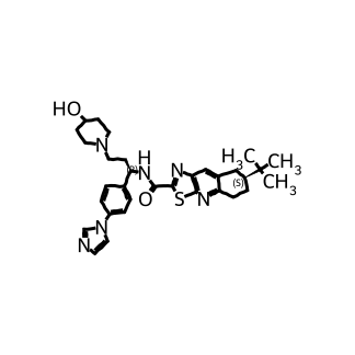 CC(C)(C)[C@H]1CCc2nc3sc(C(=O)N[C@H](CCN4CCC(O)CC4)c4ccc(-n5ccnc5)cc4)nc3cc2C1